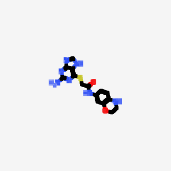 Nc1nc(SCC(=O)Nc2ccc3c(c2)OCCN3)c2[nH]cnc2n1